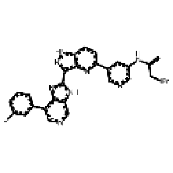 C=C(CC(C)C)Nc1cncc(-c2ccc3[nH]nc(-c4nc5c(-c6cccc(F)c6)cncc5[nH]4)c3n2)c1